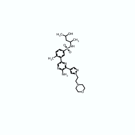 Cc1ccc(S(=O)(=O)NC(C)CC(C)O)cc1-c1cnc(N)c(-c2cnn(CCN3CCOCC3)c2)n1